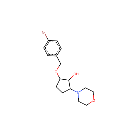 OC1C(OCc2ccc(Br)cc2)CCC1N1CCOCC1